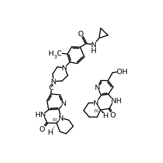 Cc1cc(C(=O)NC2CC2)ccc1N1CCN(Cc2cnc3c(c2)NC(=O)[C@@H]2CCCCN32)CC1.O=C1Nc2cc(CO)cnc2N2CCCC[C@@H]12